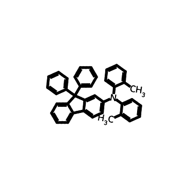 Cc1ccccc1N(c1ccc2c(c1)C(c1ccccc1)(c1ccccc1)c1ccccc1-2)c1ccccc1C